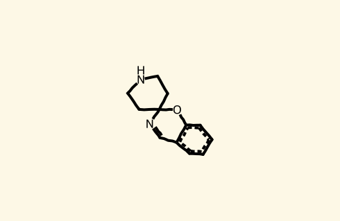 C1=NC2(CCNCC2)Oc2ccccc21